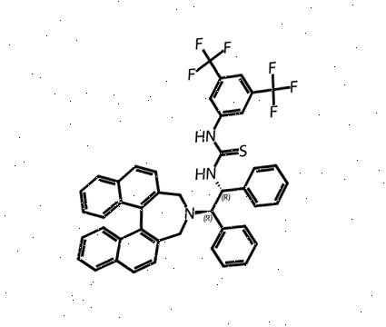 FC(F)(F)c1cc(NC(=S)N[C@H](c2ccccc2)[C@@H](c2ccccc2)N2Cc3ccc4ccccc4c3-c3c(ccc4ccccc34)C2)cc(C(F)(F)F)c1